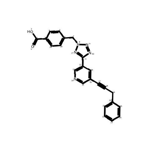 O=C(O)c1ccc(Cn2nnc(-c3cncc(C#CCc4ccccc4)c3)n2)cc1